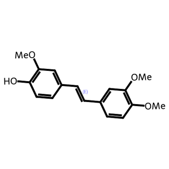 COc1cc(/C=C/c2ccc(OC)c(OC)c2)ccc1O